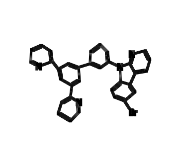 Brc1ccc2c(c1)c1cccnc1n2-c1cccc(-c2cc(-c3ccccn3)cc(-c3ccccn3)c2)c1